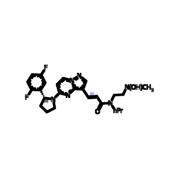 CCCN(CCN(C)O)C(=O)/C=C/c1cnn2ccc(N3CCC[C@@H]3c3cc(F)ccc3F)nc12